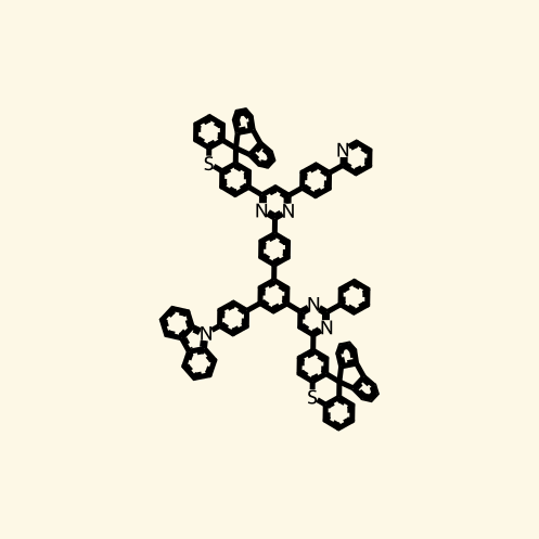 c1ccc(-c2nc(-c3cc(-c4ccc(-c5nc(-c6ccc(-c7ccccn7)cc6)cc(-c6ccc7c(c6)C6(c8ccccc8S7)c7ccccc7-c7ccccc76)n5)cc4)cc(-c4ccc(-n5c6ccccc6c6ccccc65)cc4)c3)cc(-c3ccc4c(c3)C3(c5ccccc5S4)c4ccccc4-c4ccccc43)n2)cc1